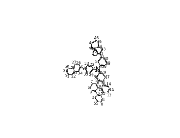 c1ccc(-c2ccccc2-c2ccccc2-c2ccc(N(c3ccc(-c4ccc5ccccc5c4)cc3)c3cccc(-c4cc5ccccc5o4)c3)cc2)cc1